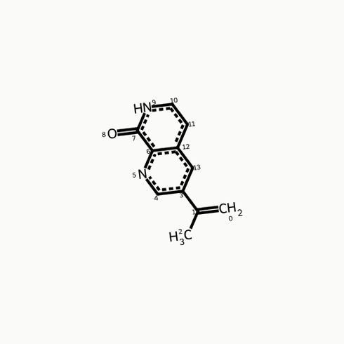 C=C(C)c1cnc2c(=O)[nH]ccc2c1